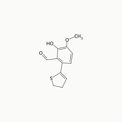 COc1ccc(C2=CCCS2)c(C=O)c1O